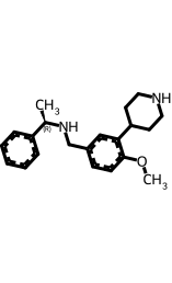 COc1ccc(CN[C@H](C)c2ccccc2)cc1C1CCNCC1